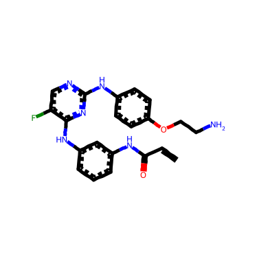 C=CC(=O)Nc1cccc(Nc2nc(Nc3ccc(OCCN)cc3)ncc2F)c1